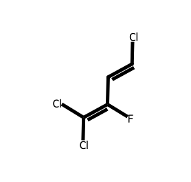 FC(C=CCl)=C(Cl)Cl